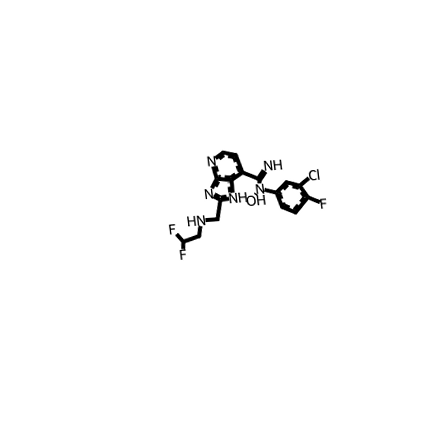 N=C(c1ccnc2nc(CNCC(F)F)[nH]c12)N(O)c1ccc(F)c(Cl)c1